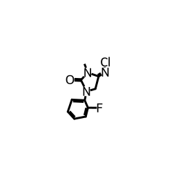 CN1C(=O)N(c2ccccc2F)C/C1=N/Cl